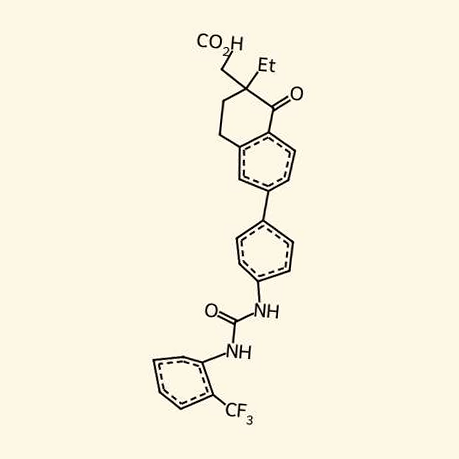 CCC1(CC(=O)O)CCc2cc(-c3ccc(NC(=O)Nc4ccccc4C(F)(F)F)cc3)ccc2C1=O